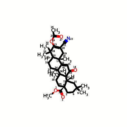 COC(=O)[C@]12CCC(C)(C)C[C@H]1[C@H]1C(=O)C=C3[C@@]4(C)CC(C#N)=C(OC(C)=O)C(C)(C)[C@@H]4CC[C@@]3(C)[C@]1(C)CC2